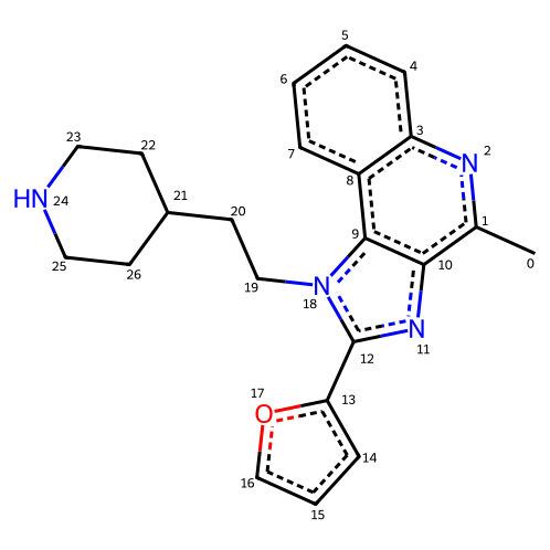 Cc1nc2ccccc2c2c1nc(-c1ccco1)n2CCC1CCNCC1